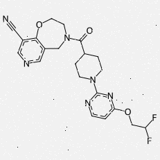 N#Cc1cncc2c1OCCN(C(=O)C1CCN(c3nccc(OCC(F)F)n3)CC1)C2